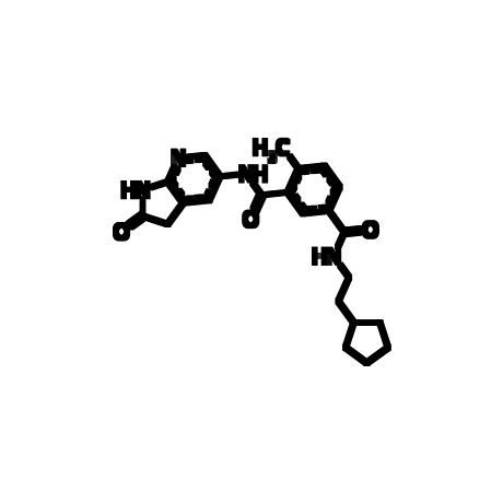 Cc1ccc(C(=O)NCCC2CCCC2)cc1C(=O)Nc1cnc2c(c1)CC(=O)N2